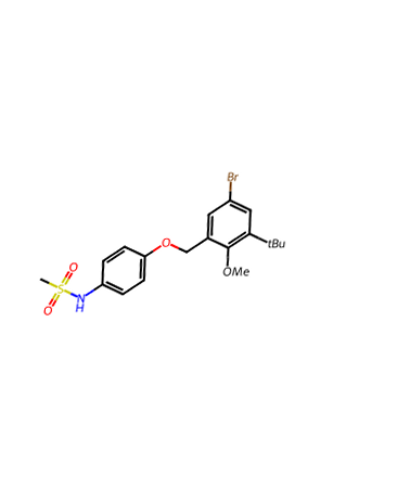 COc1c(COc2ccc(NS(C)(=O)=O)cc2)cc(Br)cc1C(C)(C)C